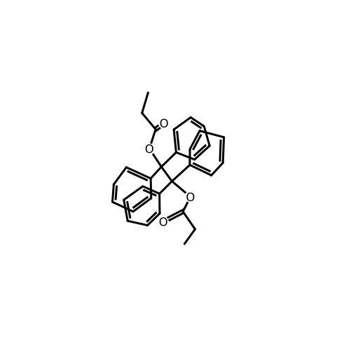 CCC(=O)OC(c1ccccc1)(c1ccccc1)C(OC(=O)CC)(c1ccccc1)c1ccccc1